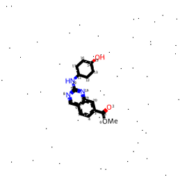 COC(=O)c1ccc2cnc(NC3CCC(O)CC3)nc2c1